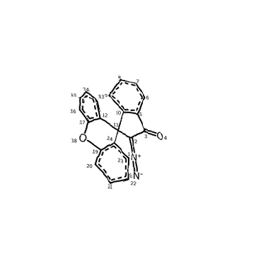 [N-]=[N+]=C1C(=O)c2ccccc2C12c1ccccc1Oc1ccccc12